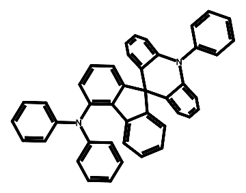 c1ccc(N(c2ccccc2)c2cccc3c2-c2ccccc2C32c3ccccc3N(c3ccccc3)c3ccccc32)cc1